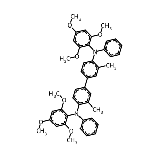 COc1cc(OC)c(N(c2ccccc2)c2ccc(-c3ccc(N(c4ccccc4)c4c(OC)cc(OC)cc4OC)c(C)c3)cc2C)c(OC)c1